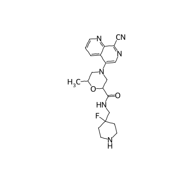 CC1CN(c2cnc(C#N)c3ncccc23)CC(C(=O)NCC2(F)CCNCC2)O1